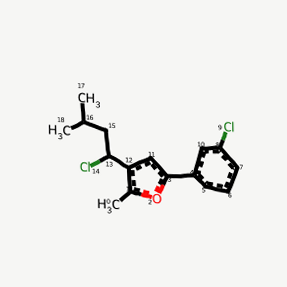 Cc1oc(-c2cccc(Cl)c2)cc1C(Cl)CC(C)C